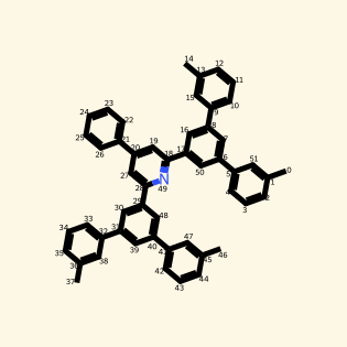 Cc1cccc(-c2cc(-c3cccc(C)c3)cc(-c3cc(-c4ccccc4)cc(-c4cc(-c5cccc(C)c5)cc(-c5cccc(C)c5)c4)n3)c2)c1